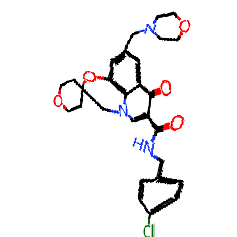 O=C(NCc1ccc(Cl)cc1)c1cn2c3c(cc(CN4CCOCC4)cc3c1=O)OC1(CCOCC1)C2